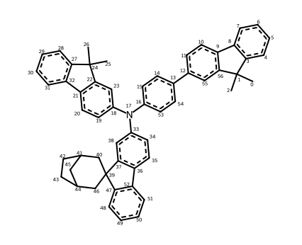 CC1(C)c2ccccc2-c2ccc(-c3ccc(N(c4ccc5c(c4)C(C)(C)c4ccccc4-5)c4ccc5c(c4)C4(CC6CCC(C6)C4)c4ccccc4-5)cc3)cc21